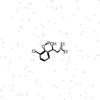 CCN(CC)CC(O)c1cccc(Cl)c1OC(C)C